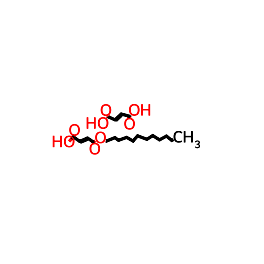 CCCCCCCCCCCCOC(=O)C=CC(=O)O.O=C(O)C=CC(=O)O